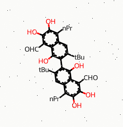 CCCc1c(O)c(O)c(C=O)c2c(O)c(-c3c(C(C)(C)C)cc4c(CCC)c(O)c(O)c(C=O)c4c3O)c(C(C)(C)C)cc12